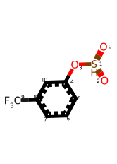 O=[SH](=O)Oc1cccc(C(F)(F)F)c1